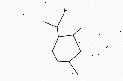 CC1CCC(C(C)F)C(C)C1